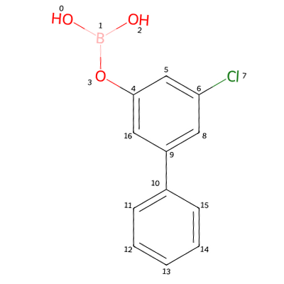 OB(O)Oc1cc(Cl)cc(-c2ccccc2)c1